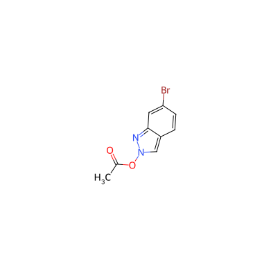 CC(=O)On1cc2ccc(Br)cc2n1